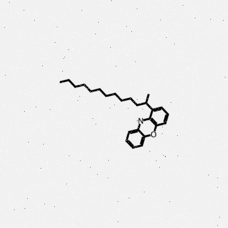 CCCCCCCCCCCC(C)c1cccc2c1[N]c1ccccc1O2